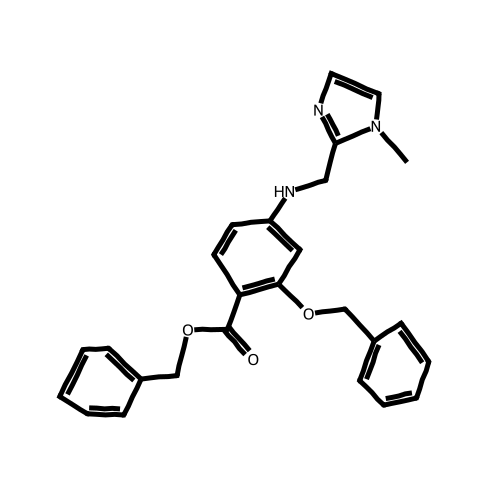 Cn1ccnc1CNc1ccc(C(=O)OCc2ccccc2)c(OCc2ccccc2)c1